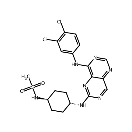 CS(=O)(=O)N[C@H]1CC[C@H](Nc2ncc3ncnc(Nc4ccc(Cl)c(Cl)c4)c3n2)CC1